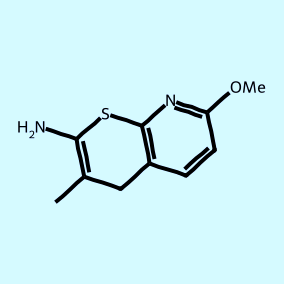 COc1ccc2c(n1)SC(N)=C(C)C2